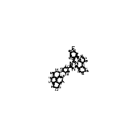 Fc1ccc(-c2nc(-c3ccc(-c4ccc5ccc6cccc7ccc4c5c67)cc3)nc(-c3ccccc3-c3cccnc3)n2)cc1